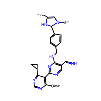 COc1ncnc(C2CC2)c1-c1ncc(C=N)c(NCc2ccc(C3NC(C(F)(F)F)=CN3C(C)C)cc2)n1